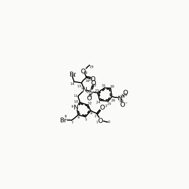 COC(=O)c1cc(CBr)nc(CN(C(CBr)C(=O)OC)S(=O)(=O)c2ccc([N+](=O)[O-])cc2)c1